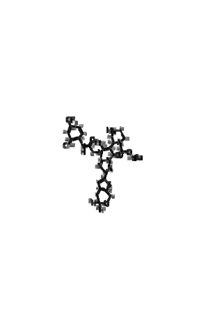 [2H]C1([2H])Cc2cc(-c3nc4n(CC(=O)Nc5ccc(C(F)(F)F)cc5Cl)c(CC)c(C5CNCCN5C(=O)OC(C)(C)C)c(=O)n4n3)sc2CO1